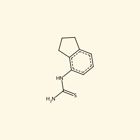 NC(=S)Nc1cccc2c1CCC2